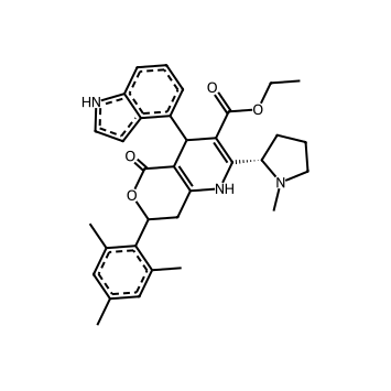 CCOC(=O)C1=C([C@@H]2CCCN2C)NC2=C(C(=O)OC(c3c(C)cc(C)cc3C)C2)C1c1cccc2[nH]ccc12